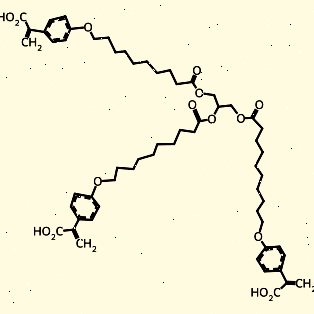 C=C(C(=O)O)c1ccc(OCCCCCCCCCC(=O)OCC(COC(=O)CCCCCCCCCOc2ccc(C(=C)C(=O)O)cc2)OC(=O)CCCCCCCCCOc2ccc(C(=C)C(=O)O)cc2)cc1